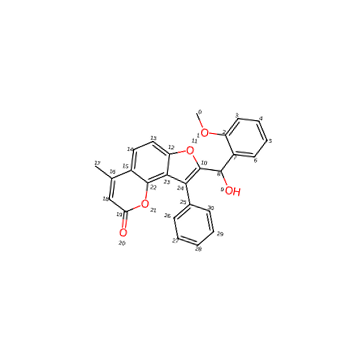 COc1ccccc1C(O)c1oc2ccc3c(C)cc(=O)oc3c2c1-c1ccccc1